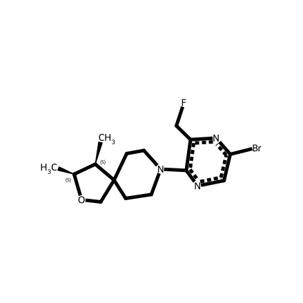 C[C@@H]1OCC2(CCN(c3ncc(Br)nc3CF)CC2)[C@@H]1C